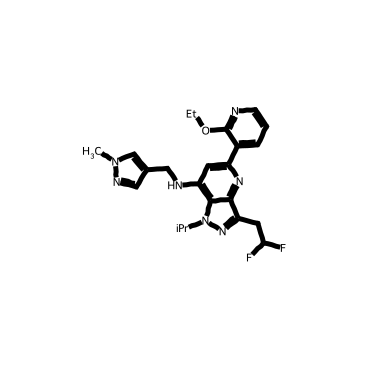 CCOc1ncccc1-c1cc(NCc2cnn(C)c2)c2c(n1)c(CC(F)F)nn2C(C)C